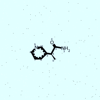 C[C@H](C(N)=O)c1cccnc1